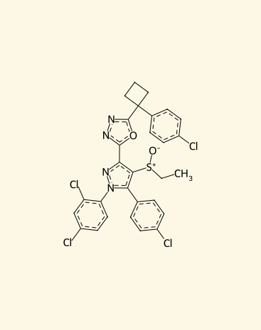 CC[S+]([O-])c1c(-c2nnc(C3(c4ccc(Cl)cc4)CCC3)o2)nn(-c2ccc(Cl)cc2Cl)c1-c1ccc(Cl)cc1